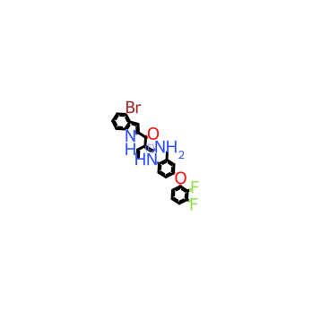 C=C/C(C(=O)c1cc2c(Br)cccc2[nH]1)=C(/N)Nc1ccc(Oc2cccc(F)c2F)cc1C